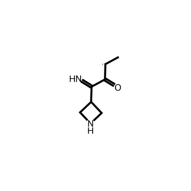 C[CH]C(=O)C(=N)C1CNC1